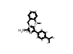 COc1ccccc1Cn1cc(-c2ccc(C(C)C)cc2)nc1N